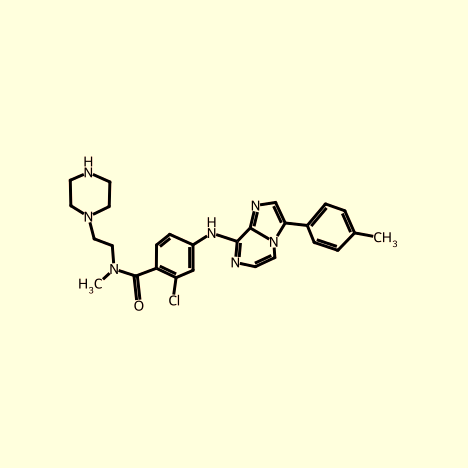 Cc1ccc(-c2cnc3c(Nc4ccc(C(=O)N(C)CCN5CCNCC5)c(Cl)c4)nccn23)cc1